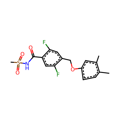 Cc1ccc(OCc2cc(F)c(C(=O)NS(C)(=O)=O)cc2F)cc1C